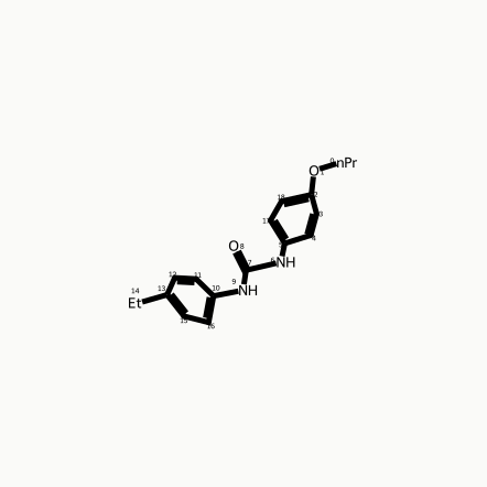 CCCOc1ccc(NC(=O)Nc2ccc(CC)cc2)cc1